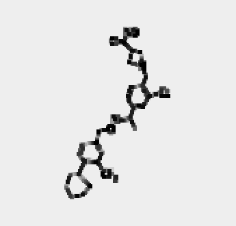 CCc1cc(/C(C)=N/OCc2ccc(C3CCCCC3)c(C(F)(F)F)c2)ccc1CN1CC(C(=O)N=O)C1